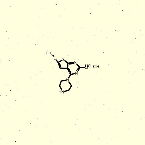 CCc1cc2c(N3CCNCC3)nc(Cl)nc2s1.Cl.Cl